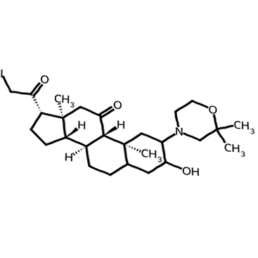 CC1(C)CN(C2C[C@@]3(C)C(CC[C@H]4[C@@H]5CC[C@H](C(=O)CCl)[C@@]5(C)CC(=O)[C@@H]43)CC2O)CCO1